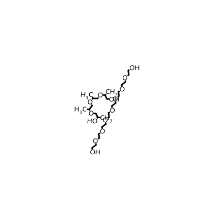 CC(O)COC(C)COC(C)COC(C)CO.OCCOCCOCCOCCOCCOCCOCCOCCO